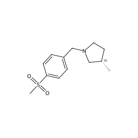 C[C@H]1CCN(Cc2ccc(S(C)(=O)=O)cc2)C1